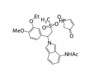 CCOc1cc(C(CS(C)(=O)=O)n2cc3cccc(NC(C)=O)c3c2)ccc1OC.O=C1C=C[PH](=O)C1